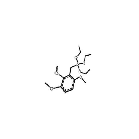 CCO[Si](Cc1c(OC)ccc(OC)c1OC)(OCC)OCC